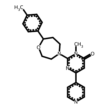 Cc1ccc(C2CCN(c3nc(-c4ccncc4)cc(=O)n3C)CCO2)cc1